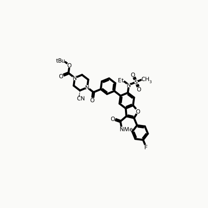 CCN(c1cc2oc(-c3ccc(F)cc3)c(C(=O)NC)c2cc1-c1cccc(C(=O)N2CCN(C(=O)OC(C)(C)C)C[C@H]2C#N)c1)S(C)(=O)=O